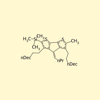 CCC/C=C1\c2c(sc(C)c2CCCCCCCCCCCC)-c2sc([Si](C)(C)C)c(CCCCCCCCCCCC)c21